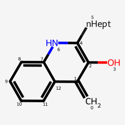 C=C1C(O)=C(CCCCCCC)Nc2ccccc21